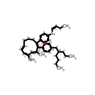 CC/C=C\Sc1ccc(/C2=C(c3ccc(CC(CCC)CCCC)cc3)/C(C)=C/C(N)=C\C=C\CCC2)cc1